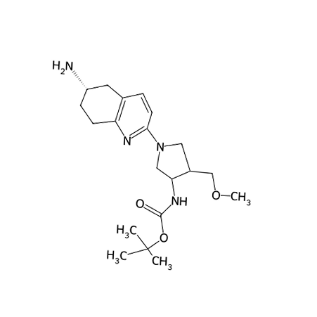 COCC1CN(c2ccc3c(n2)CC[C@H](N)C3)CC1NC(=O)OC(C)(C)C